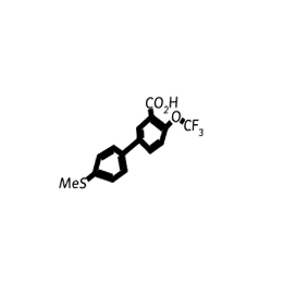 CSc1ccc(-c2ccc(OC(F)(F)F)c(C(=O)O)c2)cc1